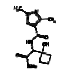 CNC(=O)C(NC(=O)c1cn(C)nc1C(F)(F)F)C1(O)CCC1